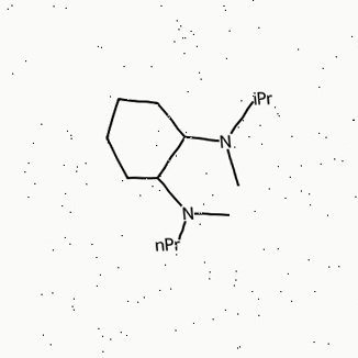 CCCN(C)C1CCCCC1N(C)C(C)C